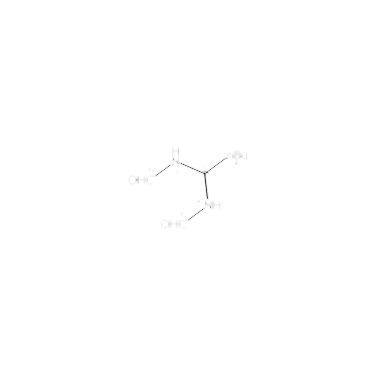 CCCC[C](NC=O)NC=O